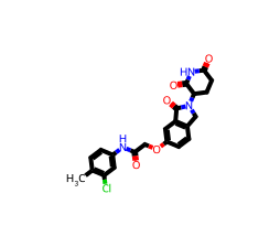 Cc1ccc(NC(=O)COc2ccc3c(c2)C(=O)N(C2CCC(=O)NC2=O)C3)cc1Cl